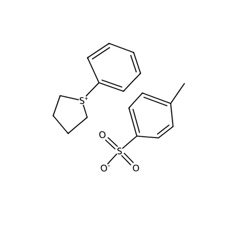 Cc1ccc(S(=O)(=O)[O-])cc1.c1ccc([S+]2CCCC2)cc1